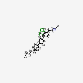 C/C=C/CCc1ccc(C2=CCC(C3CCC(CCCCC)CC3)CC2)c(F)c1Cl